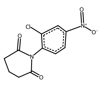 O=C1CCCC(=O)N1c1ccc([N+](=O)[O-])cc1Cl